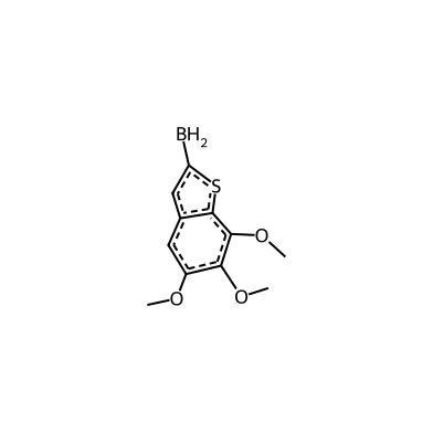 Bc1cc2cc(OC)c(OC)c(OC)c2s1